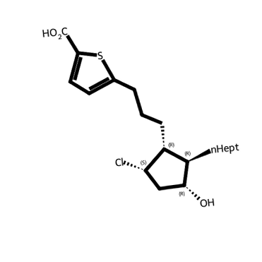 CCCCCCC[C@@H]1[C@@H](CCCc2ccc(C(=O)O)s2)[C@@H](Cl)C[C@H]1O